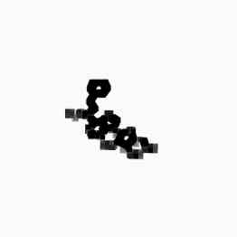 CN(CCc1ccccc1)c1ncnc2c1ncn2[C@@H]1O[C@H](CO)[C@@H](O)[C@H]1O